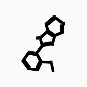 CSc1ccccc1-c1nc2cnncc2[nH]1